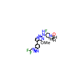 [2H]C([2H])([2H])C(=O)N1CC[C@H](Nc2nc(OC)c3c(-c4ccc5nnn(CC(F)F)c5c4)ccn3n2)[C@H](F)C1